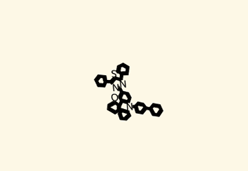 c1ccc(-c2ccc(N(c3ccccc3)c3ccc(-c4nc(-c5ccccc5)c5sc6ccccc6c5n4)c4oc5ccccc5c34)cc2)cc1